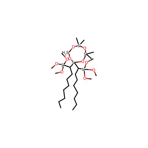 CCCCCCCC([Si](OC)(OC)OC)[Si]1(C(CCCCCCC)[Si](OC)(OC)OC)O[SiH2]O[Si](C)(C)O[Si](C)(C)O1